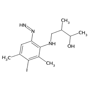 Cc1cc(N=N)c(NCC(C)C(C)O)c(C)c1I